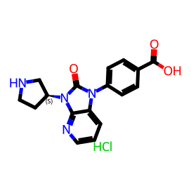 Cl.O=C(O)c1ccc(-n2c(=O)n([C@H]3CCNC3)c3ncccc32)cc1